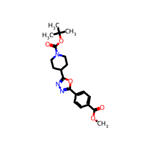 COC(=O)c1ccc(-c2nnc(C3CCN(C(=O)OC(C)(C)C)CC3)o2)cc1